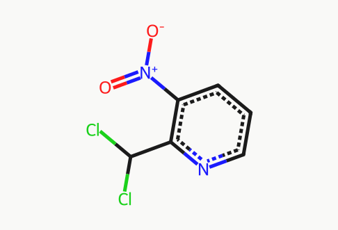 O=[N+]([O-])c1cccnc1C(Cl)Cl